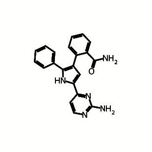 NC(=O)c1ccccc1-c1cc(-c2ccnc(N)n2)[nH]c1-c1ccccc1